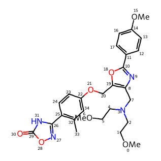 COCCN(CCOC)Cc1nc(-c2ccc(OC)cc2)oc1COc1ccc(-c2noc(=O)[nH]2)c(C)c1